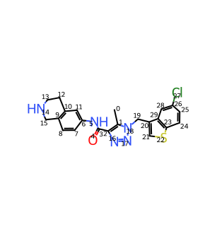 Cc1c(C(=O)Nc2ccc3c(c2)CCNC3)nnn1Cc1csc2ccc(Cl)cc12